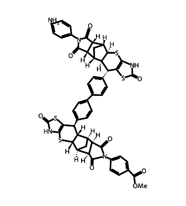 COC(=O)c1ccc(N2C(=O)[C@@H]3[C@H]4C[C@H]([C@@H]5Sc6[nH]c(=O)sc6[C@@H](c6ccc(-c7ccc([C@H]8c9sc(=O)[nH]c9S[C@@H]9[C@@H]%10C[C@@H]([C@@H]%11C(=O)N(c%12ccc(N)cc%12)C(=O)[C@H]%10%11)[C@H]89)cc7)cc6)[C@H]45)[C@@H]3C2=O)cc1